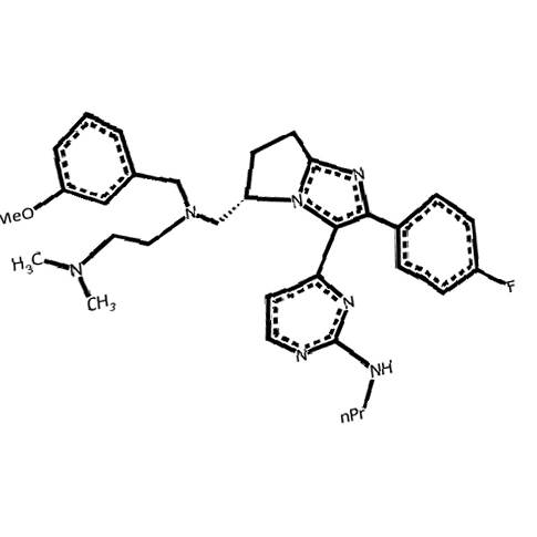 CCCNc1nccc(-c2c(-c3ccc(F)cc3)nc3n2[C@H](CN(CCN(C)C)Cc2cccc(OC)c2)CC3)n1